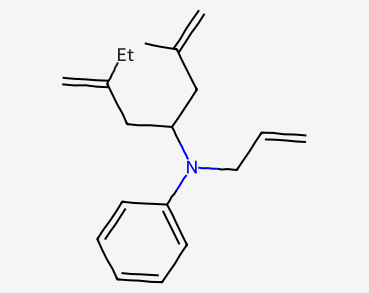 C=CCN(c1ccccc1)C(CC(=C)C)CC(=C)CC